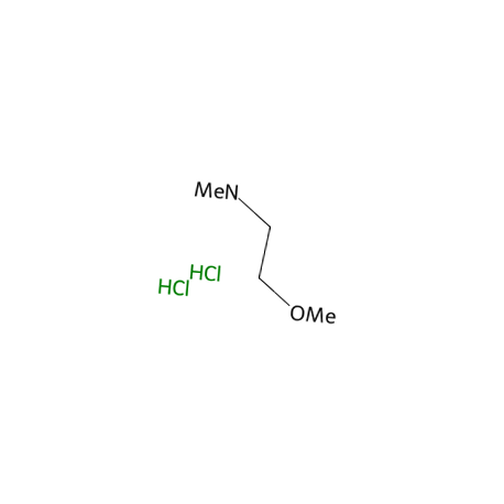 CNCCOC.Cl.Cl